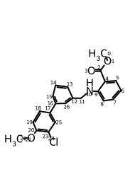 COC(=O)c1ccccc1NCc1cccc(-c2ccc(OC)c(Cl)c2)c1